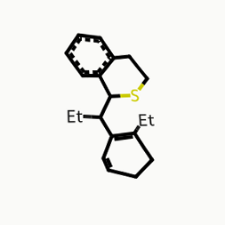 CCC1=C(C(CC)C2SCCc3ccccc32)C=CCC1